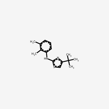 Cc1cccc(Nc2nc(C(C)(C)C)cs2)c1C